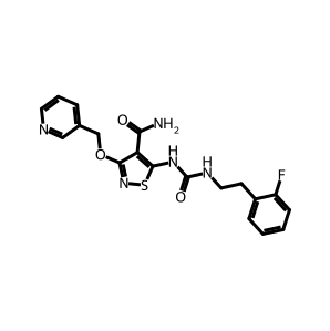 NC(=O)c1c(OCc2cccnc2)nsc1NC(=O)NCCc1ccccc1F